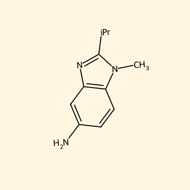 CC(C)c1nc2cc(N)ccc2n1C